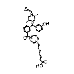 C[C@@H]1CN(C(c2cccc(O)c2)c2cccc(C(=O)N3CCCN(CCCCCCC(=O)O)CC3)c2)[C@@H](C)CN1CC1CC1